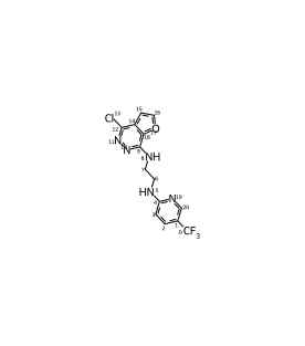 FC(F)(F)c1ccc(NCCNc2nnc(Cl)c3ccoc23)nc1